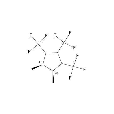 C[C@@H]1C(C(F)(F)F)C(C(F)(F)F)C(C(F)(F)F)[C@@H]1C